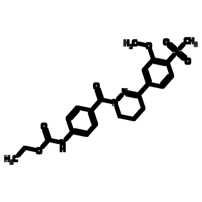 CCOC(=O)Nc1ccc(C(=O)N2CCCC(c3ccc(S(C)(=O)=O)c(OC)c3)=N2)cc1